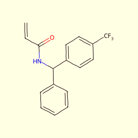 C=CC(=O)NC(c1ccccc1)c1ccc(C(F)(F)F)cc1